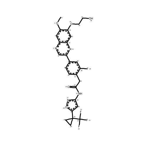 COc1cc2ncc(-c3ccc(CC(=O)Nc4cc(C5(C(F)(F)F)CC5)on4)c(F)c3)nc2cc1OCCO